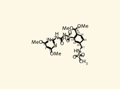 COc1cc(OC)nc(NC(=O)NS(=O)(=O)c2cc(CNS(C)(=O)=O)ccc2C(OC)OC)n1